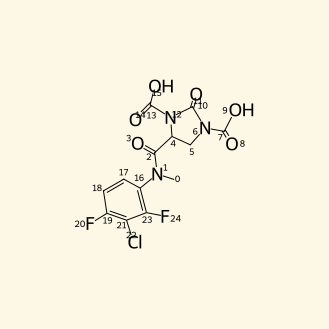 CN(C(=O)C1CN(C(=O)O)C(=O)N1C(=O)O)c1ccc(F)c(Cl)c1F